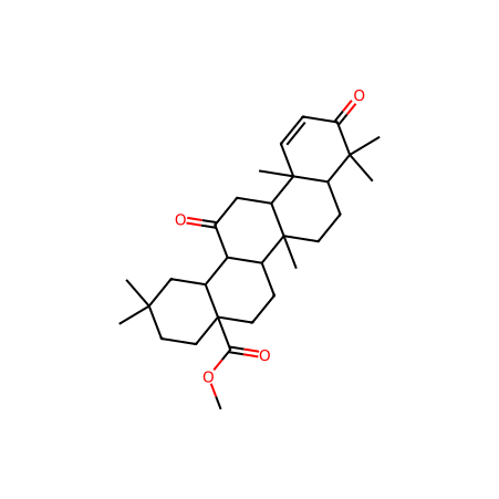 COC(=O)C12CCC3C(C(=O)CC4C5(C)C=CC(=O)C(C)(C)C5CCC34C)C1CC(C)(C)CC2